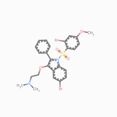 COc1ccc(S(=O)(=O)n2c(-c3ccccc3)c(OCCN(C)C)c3cc(Br)ccc32)c(Br)c1